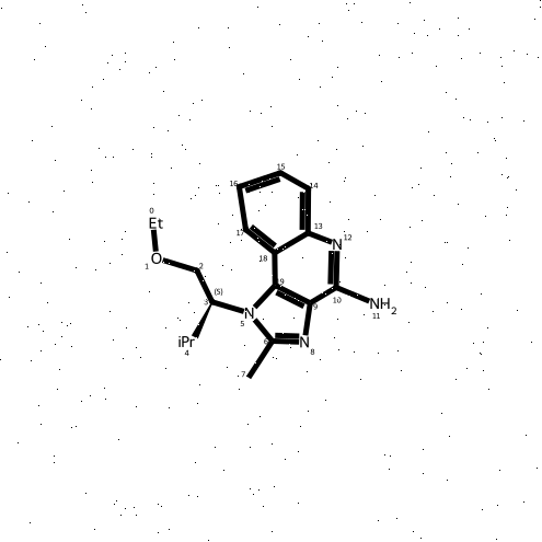 CCOC[C@H](C(C)C)n1c(C)nc2c(N)nc3ccccc3c21